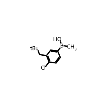 CB(O)c1ccc(Cl)c(CC(C)(C)C)c1